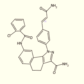 NC(=O)/C=C/c1ccc(-n2nc(C(N)=O)c3c2-c2cc(NC(=O)c4ccccc4Cl)ccc2CC3)cc1